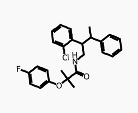 CC(c1ccccc1)C(CNC(=O)C(C)(C)Oc1ccc(F)cc1)c1ccccc1Cl